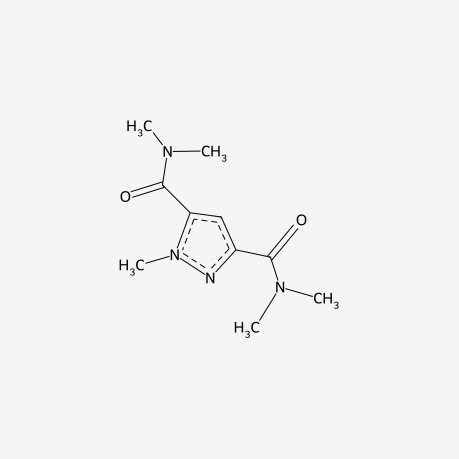 CN(C)C(=O)c1cc(C(=O)N(C)C)n(C)n1